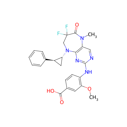 COc1cc(C(=O)O)ccc1Nc1ncc2c(n1)N([C@@H]1C[C@H]1c1ccccc1)CC(F)(F)C(=O)N2C